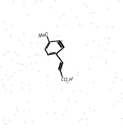 COc1[c]cc(C=CC(=O)O)cc1